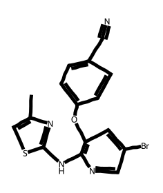 Cc1csc(Nc2ncc(Br)cc2Oc2ccc(C#N)cc2)n1